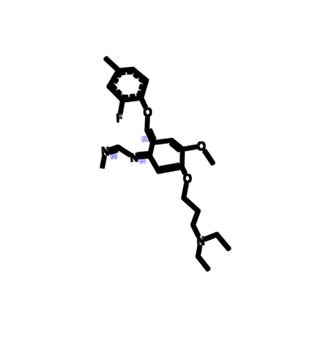 CCN(CC)CCCOC1=CC(=N/C=N\C)/C(=C/Oc2ccc(C)cc2F)C=C1OC